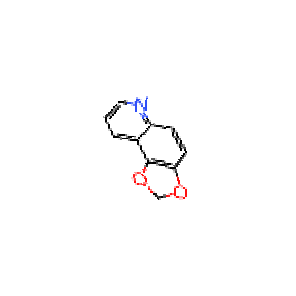 c1cnc2ccc3c(c2c1)OCO3